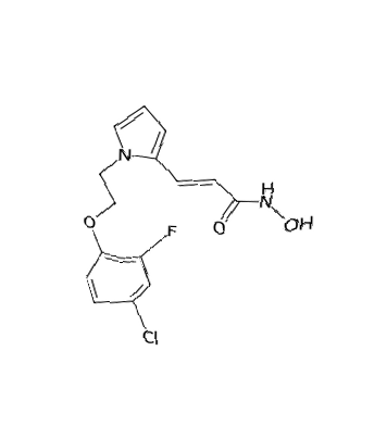 O=C(C=Cc1cccn1CCOc1ccc(Cl)cc1F)NO